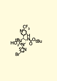 CC(C)(C)OC(=O)N[C@H](CN(C(=O)O)c1ncc(Br)s1)C(c1ccc(C(F)(F)F)nc1)C(C)(C)C